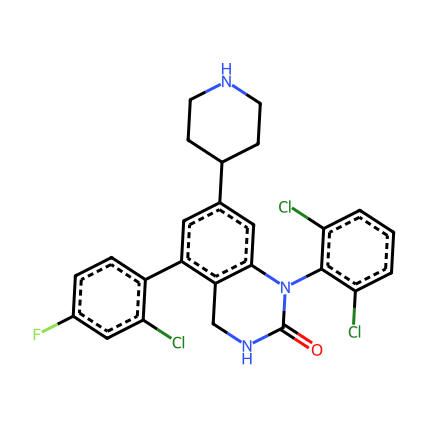 O=C1NCc2c(-c3ccc(F)cc3Cl)cc(C3CCNCC3)cc2N1c1c(Cl)cccc1Cl